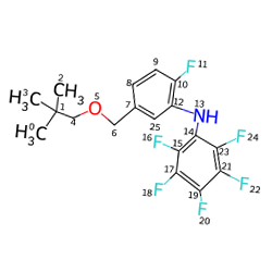 CC(C)(C)COCc1ccc(F)c(Nc2c(F)c(F)c(F)c(F)c2F)c1